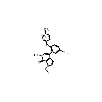 C=C/C=C\C(=C/C)Oc1ccc(N)cc1-c1cn(C)c(=O)c2c1ccn2SI